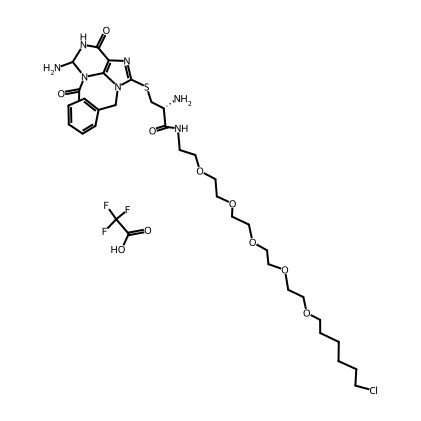 CC(=O)N1c2c(nc(SC[C@H](N)C(=O)NCCOCCOCCOCCOCCOCCCCCCCl)n2Cc2ccccc2)C(=O)NC1N.O=C(O)C(F)(F)F